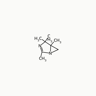 CC1=NC(C)(C)C2(C)CN12